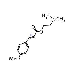 COc1ccc(/C=C/C(=O)OCCN(C)C)cc1